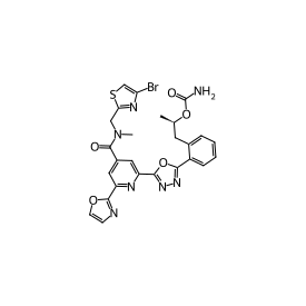 C[C@H](Cc1ccccc1-c1nnc(-c2cc(C(=O)N(C)Cc3nc(Br)cs3)cc(-c3ncco3)n2)o1)OC(N)=O